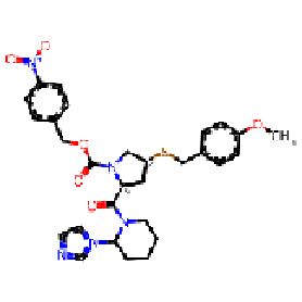 COc1ccc(CS[C@H]2C[C@@H](C(=O)N3CCCCC3n3ccnc3)N(C(=O)OCc3ccc([N+](=O)[O-])cc3)C2)cc1